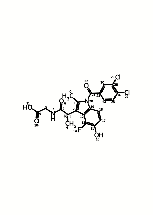 Cc1c([C@@H](C)C(=O)NCC(=O)O)c2c(F)c(O)ccc2n1C(=O)c1ccc(Cl)c(Cl)c1